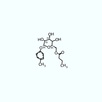 CCCC(=O)OC[C@H]1O[C@H](Oc2ccc(C)cc2)[C@@H](O)[C@@H](O)C1O